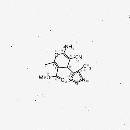 COC(=O)C1=C(C)OC(N)=C(C#N)C1c1scnc1C(F)(F)F